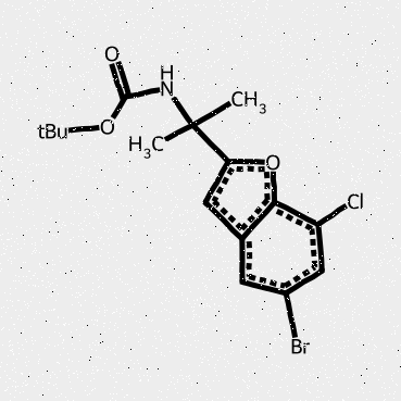 CC(C)(C)OC(=O)NC(C)(C)c1cc2cc(Br)cc(Cl)c2o1